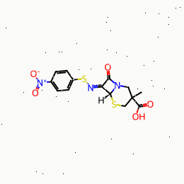 CC1(C(=O)O)CS[C@@H]2C(=NSc3ccc([N+](=O)[O-])cc3)C(=O)N2C1